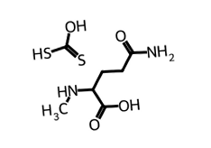 CNC(CCC(N)=O)C(=O)O.OC(=S)S